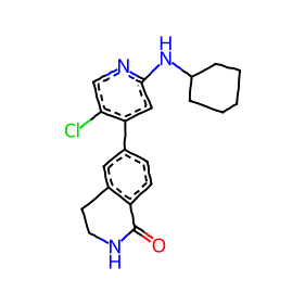 O=C1NCCc2cc(-c3cc(NC4CCCCC4)ncc3Cl)ccc21